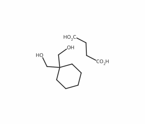 O=C(O)CCC(=O)O.OCC1(CO)CCCCC1